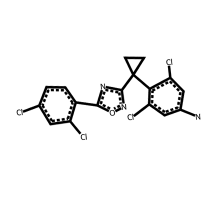 Nc1cc(Cl)c(C2(c3noc(-c4ccc(Cl)cc4Cl)n3)CC2)c(Cl)c1